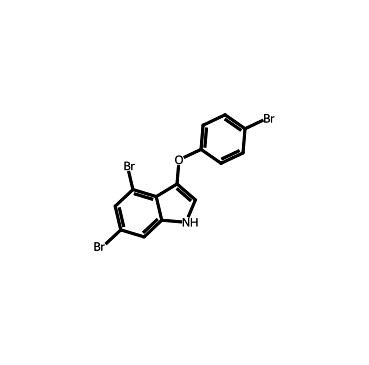 Brc1ccc(Oc2c[nH]c3cc(Br)cc(Br)c23)cc1